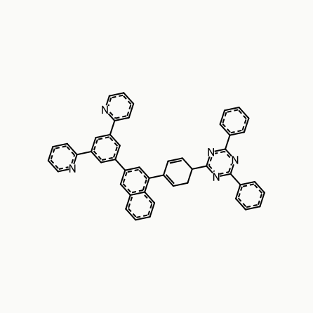 C1=CC(c2nc(-c3ccccc3)nc(-c3ccccc3)n2)CC=C1c1cc(-c2cc(-c3ccccn3)cc(-c3ccccn3)c2)cc2ccccc12